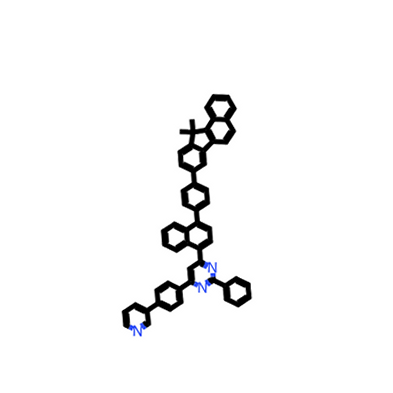 CC1(C)c2ccc(-c3ccc(-c4ccc(-c5cc(-c6ccc(-c7cccnc7)cc6)nc(-c6ccccc6)n5)c5ccccc45)cc3)cc2-c2ccc3ccccc3c21